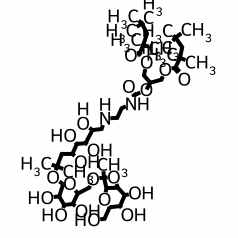 CC(C)(C)CC(C)(C)C(=O)OCC(COC(=O)C(C)(C)CC(C)(C)C)OC(=O)NCCNCC(O)C(O)C(O)C(O)CC(C)(C)OC1OC(COC2(C)OC3C(O)C(O)C(CO)OC32)C(O)C(O)C1O